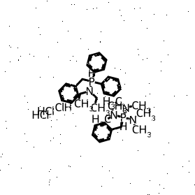 CCN(CC)[PH](Cc1ccccc1)(c1ccccc1)c1ccccc1.CN(C)[PH](Cc1ccccc1)(N(C)C)N(C)C.Cl.Cl.Cl